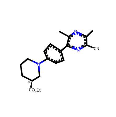 CCOC(=O)[C@H]1CCCN(c2ccc(-c3nc(C#N)c(C)nc3C)cc2)C1